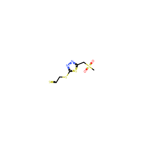 CS(=O)(=O)Cc1nnc(SCC=S)s1